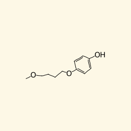 COCCCCOc1ccc(O)cc1